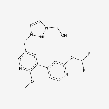 COc1ncc(CN2C=CN(CO)N2)cc1-c1ccnc(OC(F)F)c1